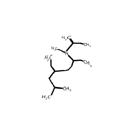 CC(C)CC(C)CC(C)N(C)C(C)C